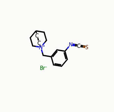 S=C=Nc1cccc(C[N+]23CCC(CC2)CC3)c1.[Br-]